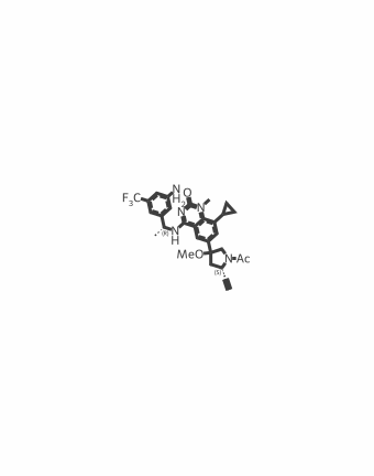 C#C[C@@H]1CC(OC)(c2cc(C3CC3)c3c(c2)c(N[C@H](C)c2cc(N)cc(C(F)(F)F)c2)nc(=O)n3C)CN1C(C)=O